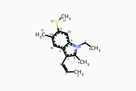 C/C=C\c1c(C)n(CC)c2cc(SC)c(C)cc12